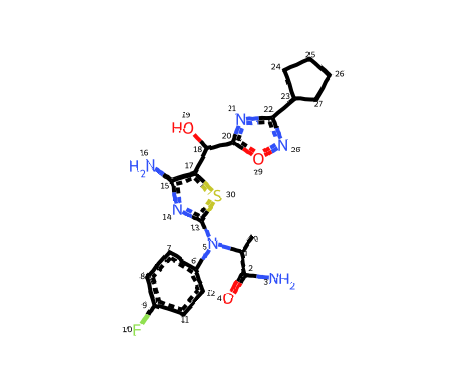 CC(C(N)=O)N(c1ccc(F)cc1)c1nc(N)c(C(O)c2nc(C3CCCC3)no2)s1